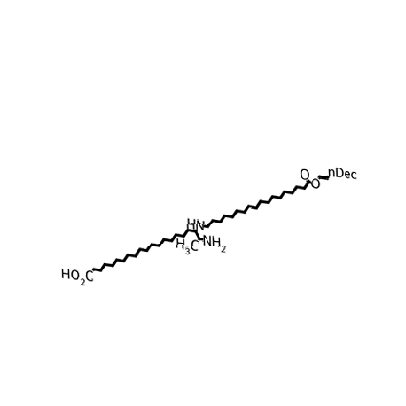 CCCCCCCCCCCCOC(=O)CCCCCCCCCCCCCCCCCNC(CCCCCCCCCCCCCCCCCC(=O)O)C(C)N